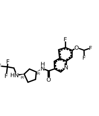 O=C(N[C@@H]1CC[C@@H](NCC(F)(F)F)C1)c1cnc2cc(OC(F)F)c(F)cc2c1